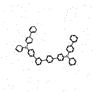 C1=CCCC(N(C2=CCC(C3=CCCC=C3)C=C2)c2ccc(-c3cccc(-c4ccc(-c5ccc(N(c6ccccc6)c6ccc(-c7ccccc7)cc6)cc5)cc4)c3)cc2)=C1